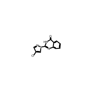 O=c1[nH]c(-n2cc(Cl)cn2)nc2ccccc12